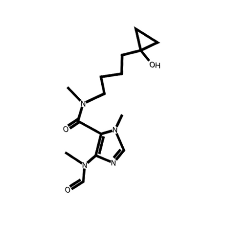 CN(CCCCC1(O)CC1)C(=O)c1c(N(C)C=O)ncn1C